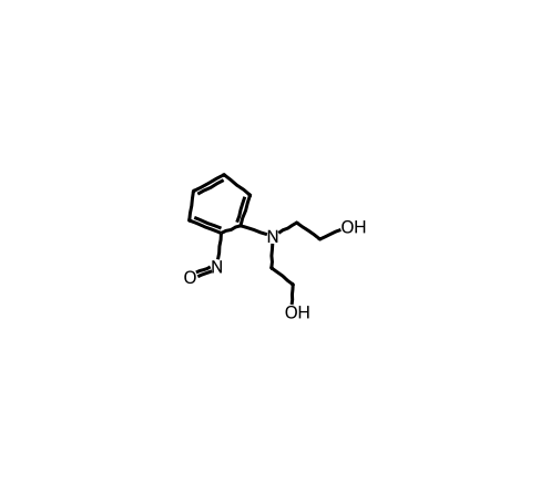 O=Nc1ccccc1N(CCO)CCO